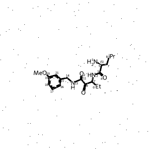 CCC(NC(=O)[C@@H](N)CC(C)C)C(=O)C(=O)NCc1cccc(OC)c1